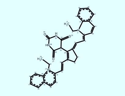 CCN1C(=CC=C2CCC(C=Cc3ccc4ccccc4[n+]3CC)=C2C2C(=O)NC(=O)NC2=O)C=Cc2ccccc21